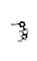 COc1cccc(C(=O)Nc2nc(O)ncc2F)c1